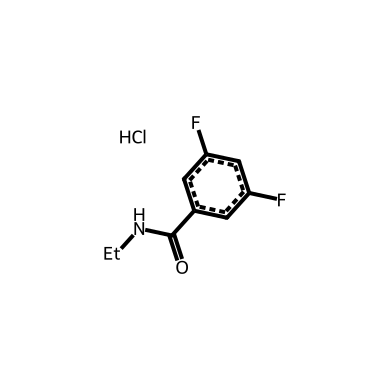 CCNC(=O)c1cc(F)cc(F)c1.Cl